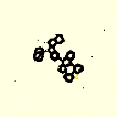 c1ccc2c3c(ccc2c1)C(C1C2CC4CC(C2)CC1C4)c1ccc(-c2c4ccccc4c(-c4cccc5sc6ccccc6c45)c4ccccc24)cc1-3